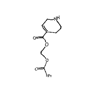 CCCC(=O)OCOC(=O)C1=CCNCC1